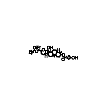 CC(C)C(OC(=O)N1CCC1)C1CC[C@H]2C(O1)[C@H](O)[C@@]1(C)C3CC[C@H]4C(C)(C)C(OC(=O)N5CC(O)C5)CCC45CC35CCC21C